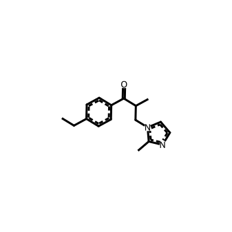 CCc1ccc(C(=O)C(C)Cn2ccnc2C)cc1